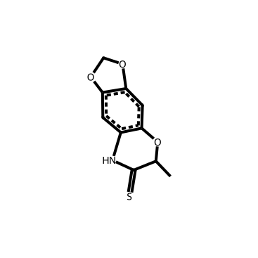 CC1Oc2cc3c(cc2NC1=S)OCO3